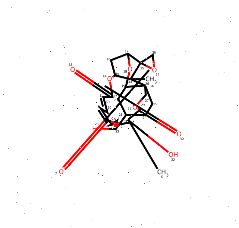 CC1CCCOC(=O)/C=C\C=C/C(=O)OC2CC3OC4CC(CO)CCC4(COC(=O)C1O)C2(C)C31CO1